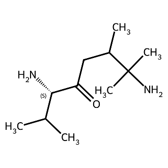 CC(C)[C@H](N)C(=O)CC(C)C(C)(C)N